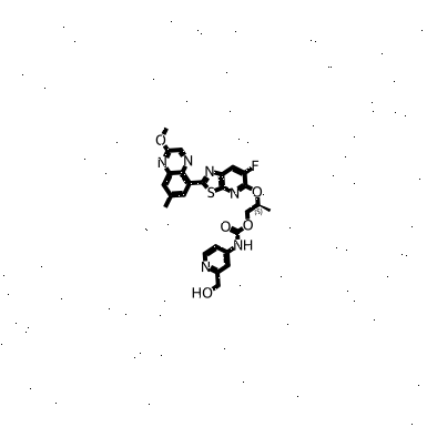 COc1cnc2c(-c3nc4cc(F)c(O[C@@H](C)COC(=O)Nc5ccnc(CO)c5)nc4s3)cc(C)cc2n1